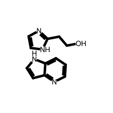 OCCc1ncc[nH]1.c1cnc2cc[nH]c2c1